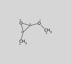 CO[C]1OC1C